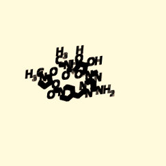 CCNC(=O)[C@H]1O[C@@H](n2cnc3c(N)nc(CC4CCN(C(=O)OC5CCN(C)C5=O)CC4)nc32)C(O)C1O